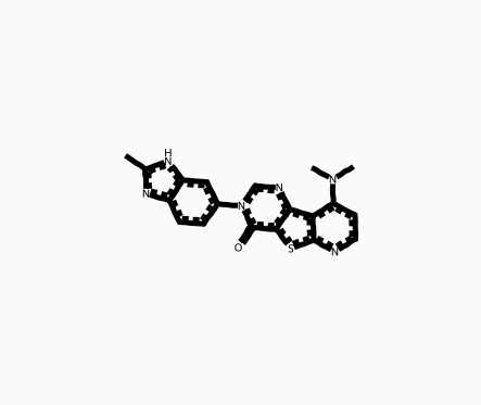 Cc1nc2ccc(-n3cnc4c(sc5nccc(N(C)C)c54)c3=O)cc2[nH]1